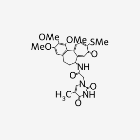 COc1cc2c(c(OC)c1OC)-c1ccc(SC)c(=O)cc1[C@@H](NC(=O)Cn1cc(C)c(=O)[nH]c1=O)CC2